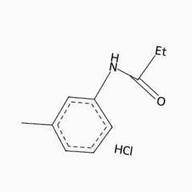 CCC(=O)Nc1cccc(C)c1.Cl